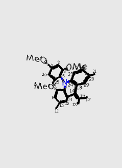 COc1cc(OC)c(N2c3ccc(C)cc3C(=C(C)C)c3cc(C)ccc32)c(OC)c1